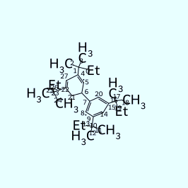 CCC(C)(C)C1=[C]C(c2[c]c(C(C)(C)CC)cc(C(C)(C)CC)c2)CC(C(C)(C)CC)=C1